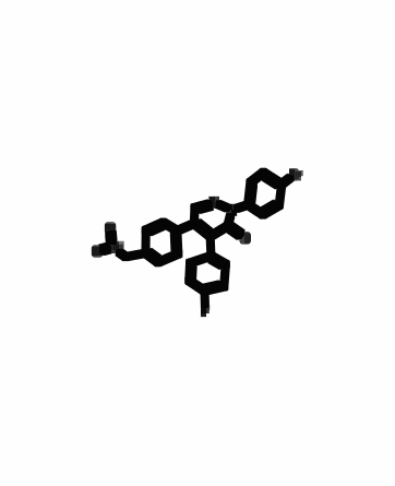 O=c1c(-c2ccc(F)cc2)c(-c2ccc(C[SH](=O)=O)cc2)cnn1-c1ccc(Br)cc1